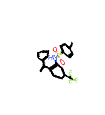 C=C(c1ccccc1)c1ccc(C(F)(F)F)cc1NS(=O)(=O)c1ccc(C)cc1